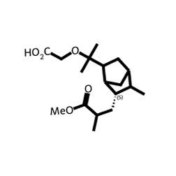 COC(=O)C(C)C[C@H]1C(C)C2CC1C(C(C)(C)OCC(=O)O)C2